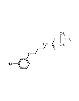 CC(C)(C)OC(=O)NCCCOc1cccc(N)c1